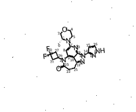 C[C@@H]1COCCN1c1cc2c3c(nn(-c4cc[nH]n4)c3n1)CCC(=O)N2C1CC(F)(F)C1